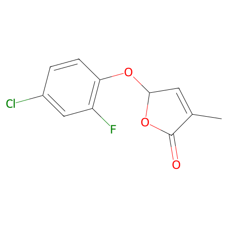 CC1=CC(Oc2ccc(Cl)cc2F)OC1=O